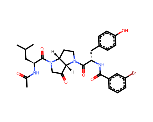 CC(=O)N[C@@H](CC(C)C)C(=O)N1CC(=O)[C@@H]2[C@H]1CCN2C(=O)[C@H](Cc1ccc(O)cc1)NC(=O)c1cccc(Br)c1